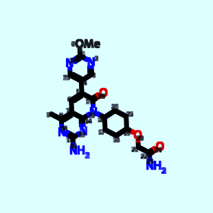 COc1ncc(-c2cc3c(C)nc(N)nc3n(C3CCC(OCC(N)=O)CC3)c2=O)cn1